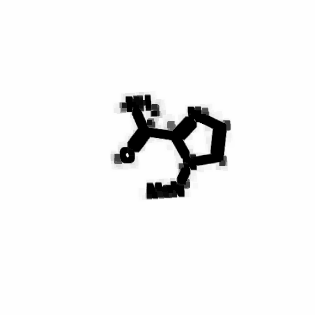 CNn1ccnc1C(N)=O